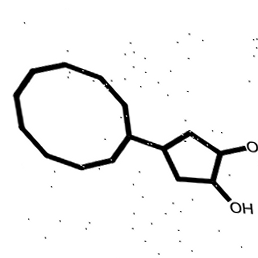 OC1CC(C2CCCCCCCCC2)CC1O